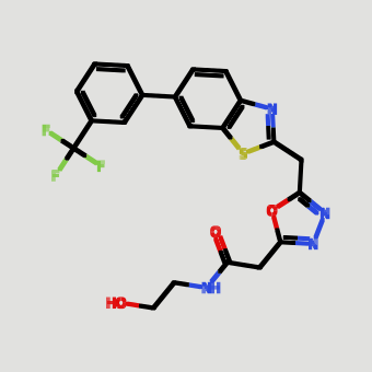 O=C(Cc1nnc(Cc2nc3ccc(-c4cccc(C(F)(F)F)c4)cc3s2)o1)NCCO